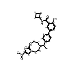 CC(c1ccc(-c2ccc(F)c(C(=O)NC3CCC3)c2)nc1)N1CCOc2nc([N+](=O)[O-])cn2CC1